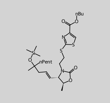 CCCCCC(C)(CC=C[C@H]1[C@H](C)OC(=O)N1CCSc1nc(C(=O)OCCCC)cs1)O[Si](C)(C)C